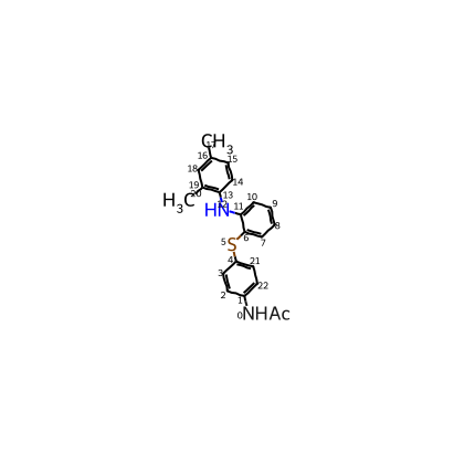 CC(=O)Nc1ccc(Sc2ccccc2Nc2ccc(C)cc2C)cc1